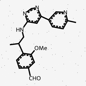 COc1cc(C=O)ccc1C(C)CNc1cc(-c2ccc(C)nc2)ncn1